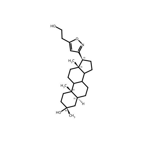 C[C@@]1(O)CC[C@]2(C)C3CC[C@@]4(C)C(CC[C@@H]4c4cc(CCO)on4)C3CC[C@H]2C1